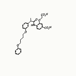 CC(C(=O)Nc1ccc(C(=O)O)cc1OCC(=O)O)c1cccc(OCCCCOc2ccccc2)c1